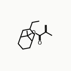 C=C(C)C(=O)OC1(C)C2CCCC1CC(CC)C2